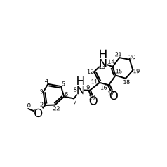 COc1cccc(CNC(=O)c2c[nH]c3c(c2=O)CCCC3)c1